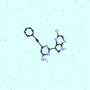 Nc1cc(C#Cc2ccccc2)nc(-c2c[nH]c3ncc(Cl)nc23)n1